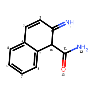 N=C1C=Cc2ccccc2C1C(N)=O